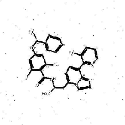 O=C(N[C@@H](Cc1ccc(-c2ncccc2C(F)(F)F)c2nccn12)C(=O)O)c1c(F)cc(N[C@H](c2ccccc2)C(F)(F)F)cc1F